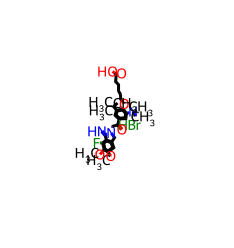 Br.COc1cc2c(c(F)c1OC)C(=N)N(CC(=O)c1cc(N(C)C)c(OCCCCCC(=O)O)c(C(C)(C)C)c1)C2